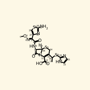 CON=C(C(=O)N[C@@H]1C(=O)N2C(C(=O)O)=C(C(C)Sc3ncc[nH]3)CS[C@@H]12)c1csc(N)n1